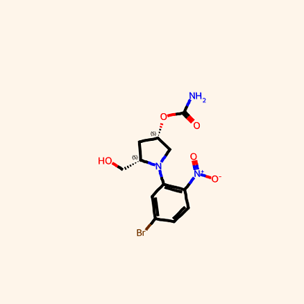 NC(=O)O[C@H]1C[C@@H](CO)N(c2cc(Br)ccc2[N+](=O)[O-])C1